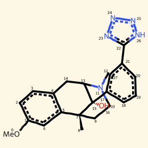 COc1ccc2c(c1)[C@@]1(C)CCN(C)C(C2)[C@@]1(O)c1cccc(-c2nnn[nH]2)c1